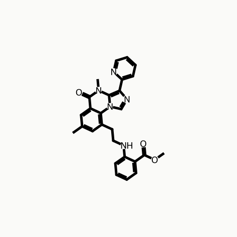 COC(=O)c1ccccc1NCCc1cc(C)cc2c(=O)n(C)c3c(-c4ccccn4)ncn3c12